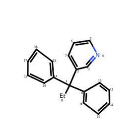 CCC(c1[c]nccc1)(c1ccccc1)c1ccccc1